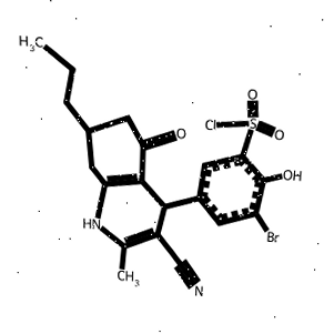 CCCC1CC(=O)C2=C(C1)NC(C)=C(C#N)C2c1cc(Br)c(O)c(S(=O)(=O)Cl)c1